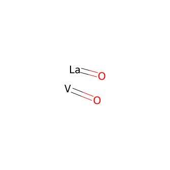 [O]=[La].[O]=[V]